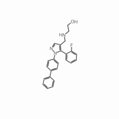 OCCNCc1cnn(-c2ccc(-c3ccccc3)cc2)c1-c1ccccc1F